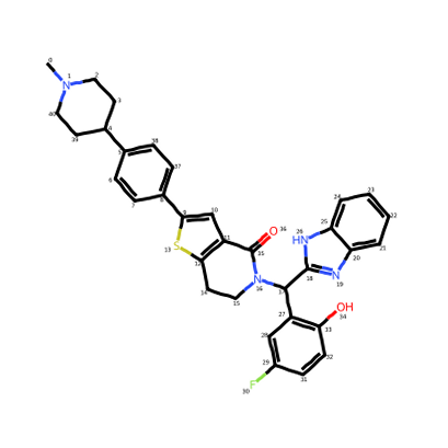 CN1CCC(c2ccc(-c3cc4c(s3)CCN(C(c3nc5ccccc5[nH]3)c3cc(F)ccc3O)C4=O)cc2)CC1